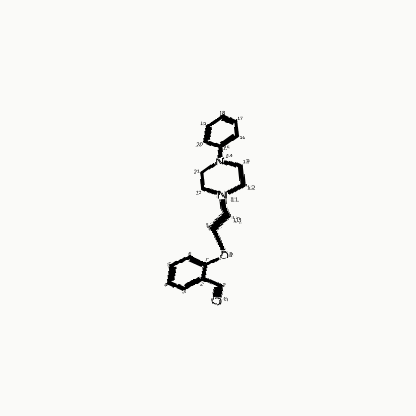 O=Cc1ccccc1OCCN1CCN(c2ccccc2)CC1